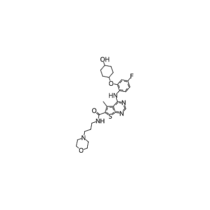 Cc1c(C(=O)NCCCN2CCOCC2)sc2ncnc(Nc3ccc(F)cc3OC3CCC(O)CC3)c12